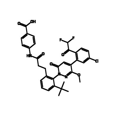 COc1nn(-c2c(CCC(=O)Nc3ccc(C(=O)O)cc3)cccc2C(C)(C)C)c(=O)cc1-c1cc(Cl)ccc1C(=O)C(F)F